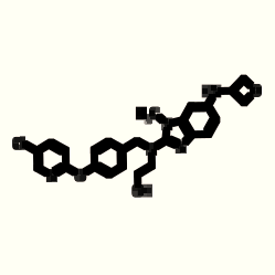 Cn1c(N(CCO)Cc2ccc(Oc3ccc(Cl)cn3)cc2)nc2ccc(NC3COC3)cc21